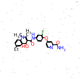 CCc1ccc2c(c1)C(O)C(C(=O)Nc1ccc(Oc3ccnc(C(N)=O)c3)c(F)c1)=C(C)N2C